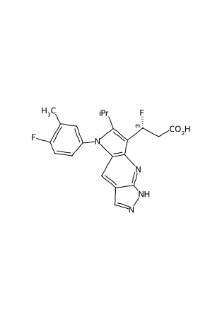 Cc1cc(-n2c(C(C)C)c([C@H](F)CC(=O)O)c3nc4[nH]ncc4cc32)ccc1F